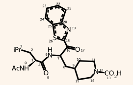 CC(=O)N[C@@H](CC(C)C)C(=O)NC(CC1CCN(C(=O)O)CC1)C(=O)c1nc2ccccc2s1